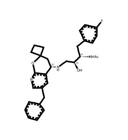 CC(=O)N[C@@H](Cc1ccc(F)cc1)[C@@H](O)CN[C@H]1CC2(CCC2)Oc2ncc(Cc3ccccc3)cc21